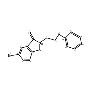 O=C1c2cc(Br)ccc2CN1CCCc1ccccc1